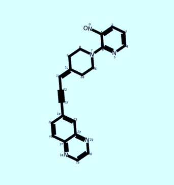 O=Nc1cccnc1N1CCC(=CC#Cc2ccc3nccnc3c2)CC1